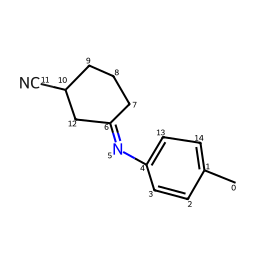 Cc1ccc(/N=C2\CCCC(C#N)C2)cc1